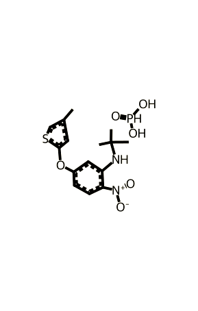 Cc1csc(Oc2ccc([N+](=O)[O-])c(NC(C)(C)C)c2)c1.O=[PH](O)O